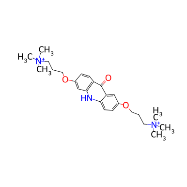 C[N+](C)(C)CCCOc1ccc2c(=O)c3cc(OCCC[N+](C)(C)C)ccc3[nH]c2c1